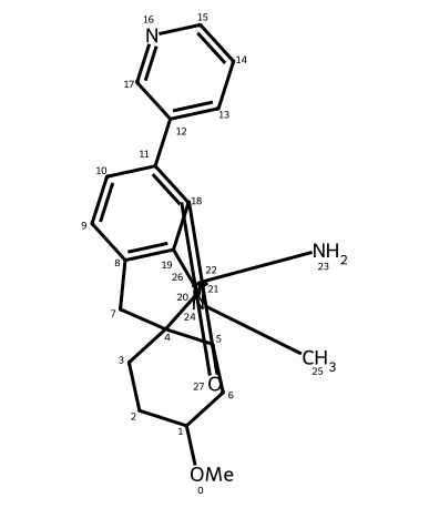 COC1CCC2(CC1)Cc1ccc(-c3cccnc3)cc1C21N=C(N)N(C)C1=O